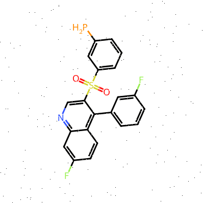 O=S(=O)(c1cccc(P)c1)c1cnc2cc(F)ccc2c1-c1cccc(F)c1